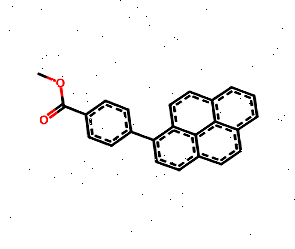 COC(=O)c1ccc(-c2ccc3ccc4cccc5ccc2c3c45)cc1